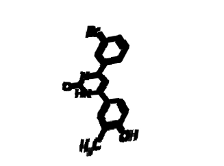 Cc1cc(-c2cc(-c3cccc(Br)c3)nc(=O)[nH]2)ccc1O